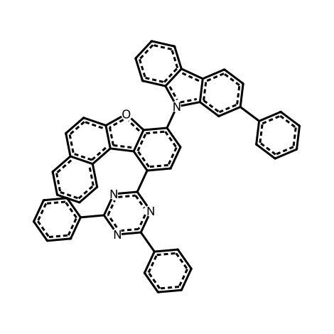 c1ccc(-c2ccc3c4ccccc4n(-c4ccc(-c5nc(-c6ccccc6)nc(-c6ccccc6)n5)c5c4oc4ccc6ccccc6c45)c3c2)cc1